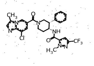 Cc1cnc2c(Cl)cc(C(=O)N3CC[C@@H](NC(=O)c4cc(C(F)(F)F)nn4C)[C@@H](c4ccccc4)C3)cn12